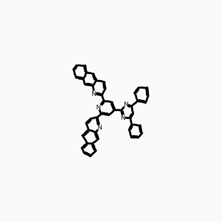 c1ccc(-c2cc(-c3ccccc3)nc(-c3cc(-c4ccc5cc6ccccc6cc5n4)nc(-c4ccc5cc6ccccc6cc5n4)c3)n2)cc1